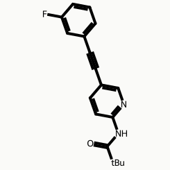 CC(C)(C)C(=O)Nc1ccc(C#Cc2cccc(F)c2)cn1